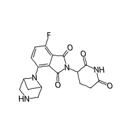 O=C1CCC(N2C(=O)c3c(F)ccc(N4C5CNCC4C5)c3C2=O)C(=O)N1